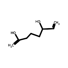 C=CC(O)CCCC(=C)O